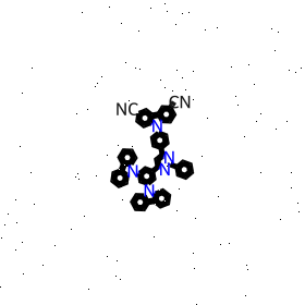 N#Cc1ccc2c(c1)c1cc(C#N)ccc1n2-c1ccc(-c2cc(-c3cc(-n4c5ccccc5c5ccccc54)cc(-n4c5ccccc5c5ccccc54)c3)nc(-c3ccccc3)n2)cc1